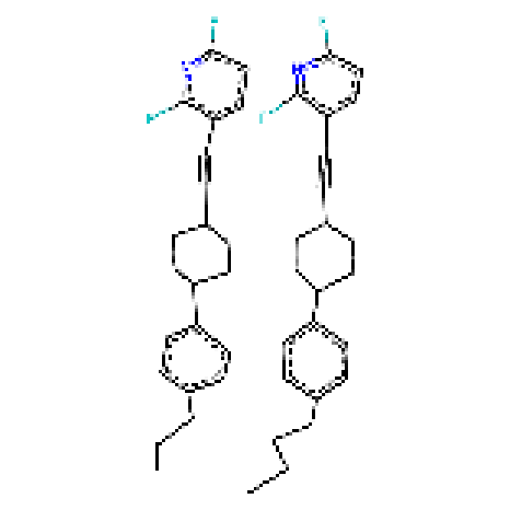 CCCCc1ccc(C2CCC(C#Cc3ccc(F)nc3F)CC2)cc1.CCCc1ccc(C2CCC(C#Cc3ccc(F)nc3F)CC2)cc1